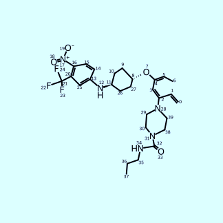 C=C/C(=C\C(=C/C)O[C@H]1CC[C@H](Nc2ccc([N+](=O)[O-])c(C(F)(F)F)c2)CC1)N1CCN(C(=O)NCCC)CC1